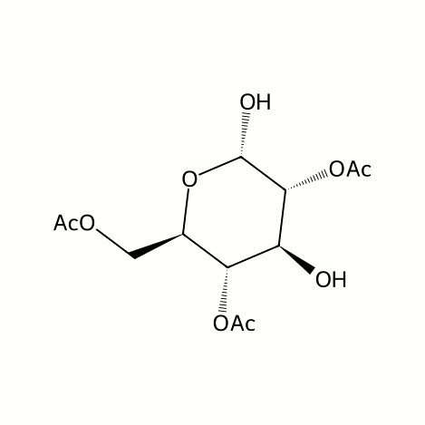 CC(=O)OC[C@H]1O[C@H](O)[C@H](OC(C)=O)[C@@H](O)[C@@H]1OC(C)=O